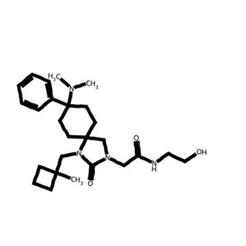 CN(C)C1(c2ccccc2)CCC2(CC1)CN(CC(=O)NCCO)C(=O)N2CC1(C)CCC1